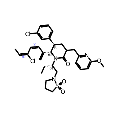 C=C(/C=C\C(Cl)=C/C)[C@@H]1[C@@H](c2cccc(Cl)c2)CC(Cc2cccc(OC)n2)C(=O)N1[C@@H](CC)CN1CCCS1(=O)=O